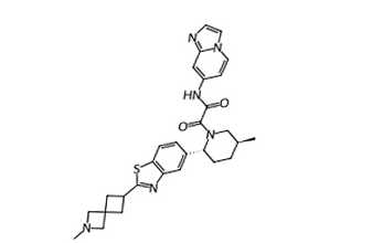 C[C@H]1CC[C@H](c2ccc3sc(C4CC5(C4)CN(C)C5)nc3c2)N(C(=O)C(=O)Nc2ccn3ccnc3c2)C1